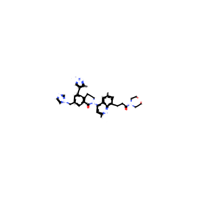 CCc1cc(CCC(=O)N2CCOCC2)c2nc(C)cc(N3CCc4c(cc(Cn5ccnc5)cc4-c4cn(C)nc4C(F)(F)F)C3=O)c2c1